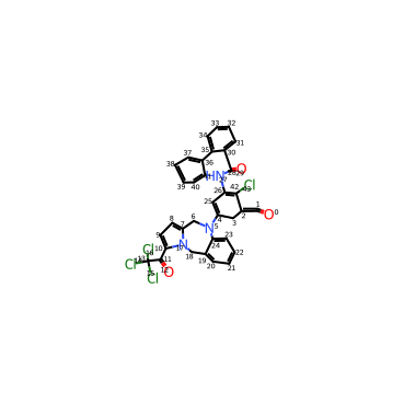 O=C=C1CC(N2Cc3ccc(C(=O)C(Cl)(Cl)Cl)n3Cc3ccccc32)=CC(NC(=O)c2ccccc2-c2ccccc2)=C1Cl